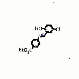 CCOC(=O)c1ccc(/N=C/c2cc(Cl)ccc2O)cc1